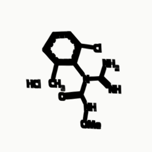 CONC(=O)N(C(=N)N)c1c(C)cccc1Cl.Cl